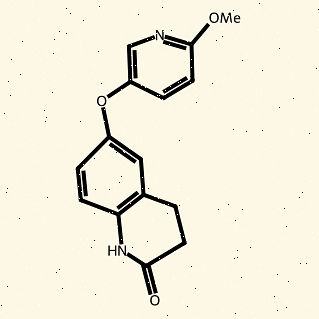 COc1ccc(Oc2ccc3c(c2)CCC(=O)N3)cn1